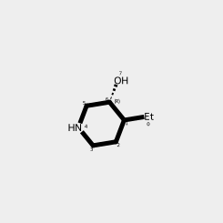 CCC1CCNC[C@@H]1O